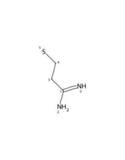 N=C(N)CC[S]